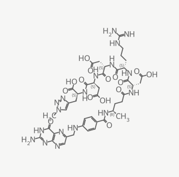 C[C@H](CCC(=O)N[C@@H](CC(=O)O)C(=O)N[C@@H](CCCNC(=N)N)C(=O)N[C@@H](CC(=O)O)C(=O)N[C@@H](CC(=O)O)C(=O)N[C@@H](Cc1cn(C)nn1)C(=O)O)NC(=O)c1ccc(NCc2cnc3nc(N)[nH]c(=O)c3n2)cc1